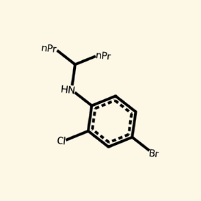 CCCC(CCC)Nc1ccc(Br)cc1Cl